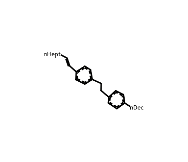 CCCCCCCC=Cc1ccc(CCc2ccc(CCCCCCCCCC)cc2)cc1